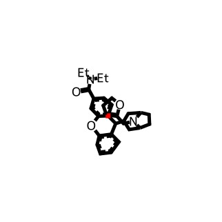 CCN(CC)C(=O)c1ccc2c(c1)Oc1ccccc1C2C1CC2CCC(C1)N2CC1=CCCO1